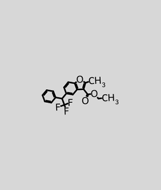 CCOC(=O)c1c(C)oc2ccc(C(c3ccccc3)C(F)(F)F)cc12